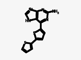 Nc1nc2c(c(-c3ccc(-c4cccs4)s3)n1)NC=[N+]2